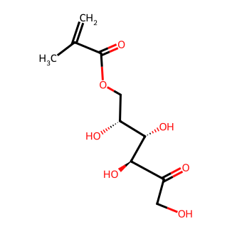 C=C(C)C(=O)OC[C@@H](O)[C@H](O)[C@H](O)C(=O)CO